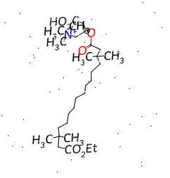 CCOC(=O)CC(C)(C)CCCCCCCCCCC(C)(C)CC(=O)O[C@H](CC(=O)O)C[N+](C)(C)C